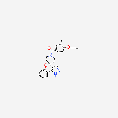 CCCOc1ccc(C(=O)N2CCC3(CC2)Oc2ccccc2-c2c3cnn2C)cc1C